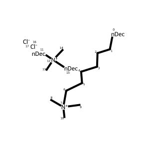 CCCCCCCCCCCCCCCC[N+](C)(C)C.CCCCCCCCCC[N+](C)(C)CCCCCCCCCC.[Cl-].[Cl-]